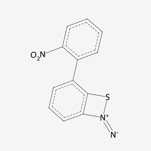 [N-]=[N+]1Sc2c(-c3ccccc3[N+](=O)[O-])cccc21